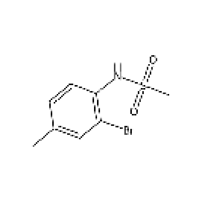 Cc1ccc(NS(C)(=O)=O)c(Br)c1